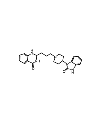 O=C1NC(CCCN2CCC(n3c(=O)[nH]c4ccccc43)CC2)Nc2ccccc21